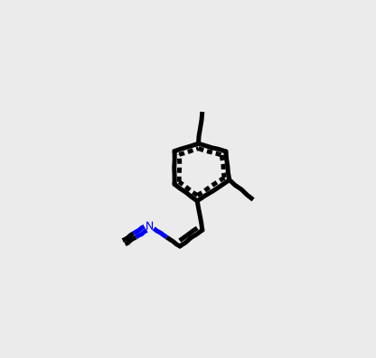 C=N/C=C\c1ccc(C)cc1C